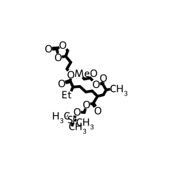 CCC(CCCC(CC(C)C(=O)OCCOC)C(=O)OCO[Si](C)(C)C)C(=O)OCCC1COC(=O)O1